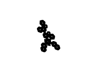 c1ccc2cc(-c3nc(-c4ccc5ccccc5c4)nc(-c4ccc(-c5cc6oc7ccccc7c6c6ccccc56)c5oc6ccccc6c45)n3)ccc2c1